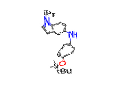 CC(C)n1ccc2cc(Nc3ccc(O[Si](C)(C)C(C)(C)C)cc3)ccc21